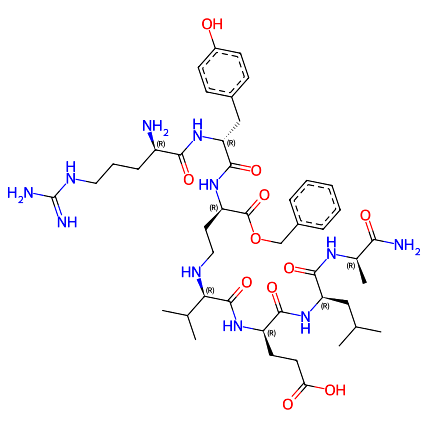 CC(C)C[C@@H](NC(=O)[C@@H](CCC(=O)O)NC(=O)[C@H](NCC[C@@H](NC(=O)[C@@H](Cc1ccc(O)cc1)NC(=O)[C@H](N)CCCNC(=N)N)C(=O)OCc1ccccc1)C(C)C)C(=O)N[C@H](C)C(N)=O